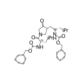 CC(C)C[C@@H](CC1CN(C(=O)[C@H](CC(C)C)NC(=O)OCc2ccccc2)CC1=O)NC(=O)OCc1ccccc1